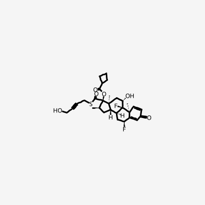 C[C@@H]1C[C@H]2[C@@H]3C[C@H](F)C4=CC(=O)C=C[C@]4(C)[C@@]3(F)[C@@H](O)C[C@]2(C)[C@@]1(OC(=O)C1CCC1)C(=O)SCC#CCO